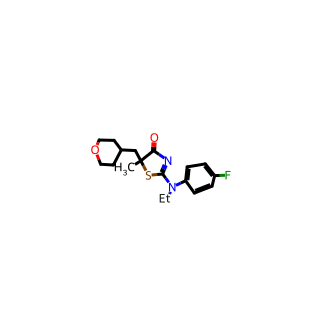 CCN(C1=NC(=O)C(C)(CC2CCOCC2)S1)c1ccc(F)cc1